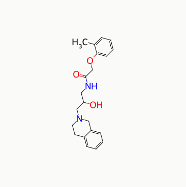 Cc1ccccc1OCC(=O)NCC(O)CN1CCc2ccccc2C1